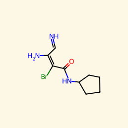 N=C/C(N)=C(/Br)C(=O)NC1CCCC1